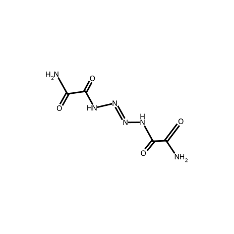 NC(=O)C(=O)NN=NNC(=O)C(N)=O